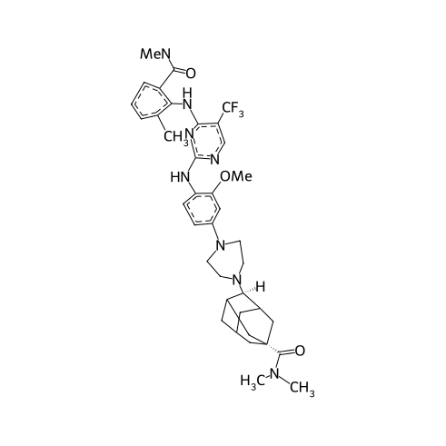 CNC(=O)c1cccc(C)c1Nc1nc(Nc2ccc(N3CCN([C@H]4C5CC6CC4C[C@](C(=O)N(C)C)(C6)C5)CC3)cc2OC)ncc1C(F)(F)F